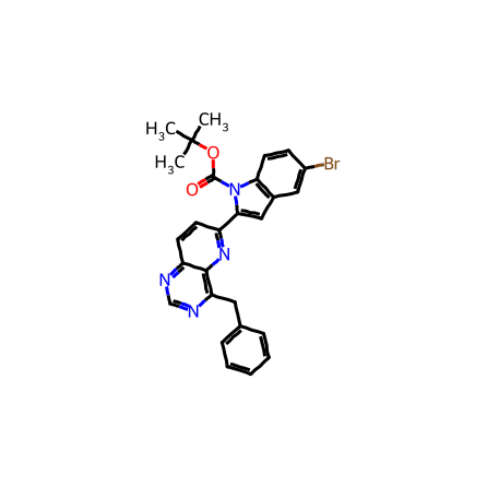 CC(C)(C)OC(=O)n1c(-c2ccc3ncnc(Cc4ccccc4)c3n2)cc2cc(Br)ccc21